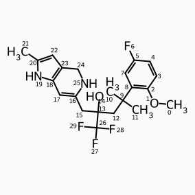 COc1ccc(F)cc1C(C)(C)CC(O)(CC1=Cc2[nH]c(C)cc2CN1)C(F)(F)F